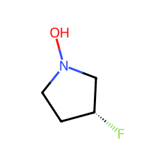 ON1CC[C@@H](F)C1